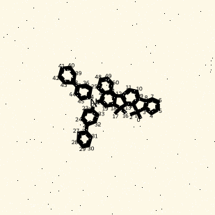 CC1(C)c2ccccc2-c2ccc3c(c21)C(C)(C)c1cc(N(c2ccc(-c4ccccc4)cc2)c2ccc(-c4ccccc4)cc2)c2ccccc2c1-3